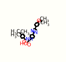 CC(C)Oc1ccc(-c2cnc(-c3ccc(C[C@H](NC(=O)c4ccc(C(C)(C)C)cc4)C(=O)O)cc3)nc2)cc1